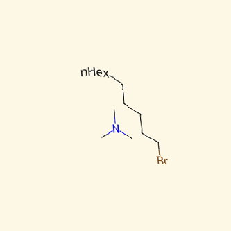 CCCCCCCCCCCBr.CN(C)C